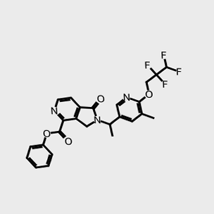 Cc1cc(C(C)N2Cc3c(ccnc3C(=O)Oc3ccccc3)C2=O)cnc1OCC(F)(F)C(F)F